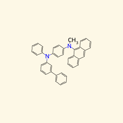 CN(c1ccc(N(c2ccccc2)c2cccc(-c3ccccc3)c2)cc1)c1c2ccccc2cc2ccccc12